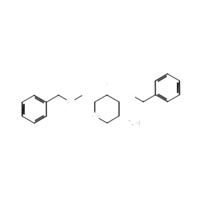 C[C@@H]1[C@H](OCc2ccccc2)[C@H](N)CO[C@@H]1COCc1ccccc1